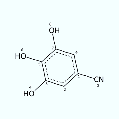 N#Cc1cc(O)c(O)c(O)c1